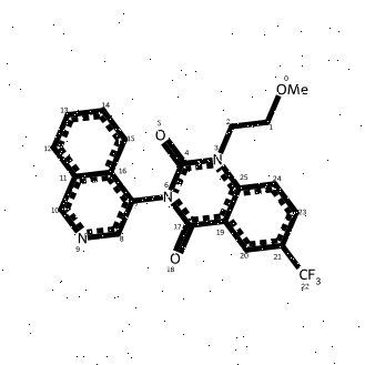 COCCn1c(=O)n(-c2cncc3ccccc23)c(=O)c2cc(C(F)(F)F)ccc21